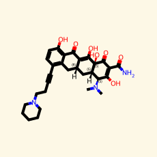 CN(C)[C@@H]1C(O)=C(C(N)=O)C(=O)[C@@]2(O)C(O)=C3C(=O)c4c(O)ccc(C#CCCN5CCCCC5)c4C[C@H]3C[C@@H]12